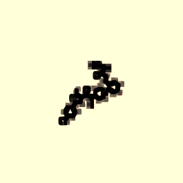 Cc1oc(-c2ccc(Cl)cc2)cc1C(=O)NC1CCN(c2ccccc2C=CC(=O)NO)CC1